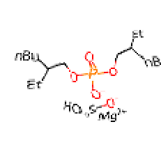 CCCCC(CC)COP(=O)([O-])OCC(CC)CCCC.O=S(=O)([O-])O.[Mg+2]